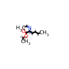 C/C=N\C(=C/CCC)C(=O)OCC